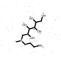 CN(CCCN)CC(O)C(O)C(O)C(O)CO